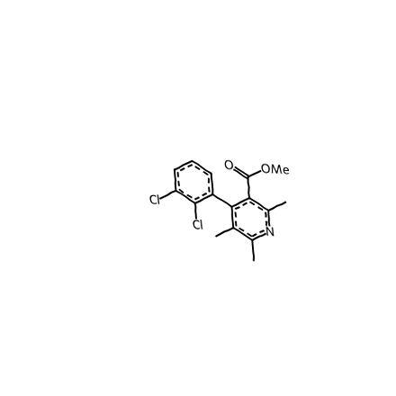 COC(=O)c1c(C)nc(C)c(C)c1-c1cccc(Cl)c1Cl